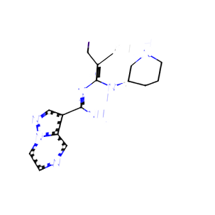 C/C(CI)=C(/N=C(\N)c1cnn2ccncc12)N[C@@H]1CCCNC1